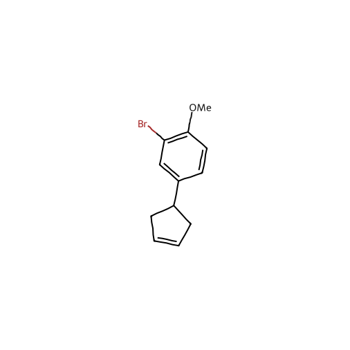 COc1ccc(C2CC=CC2)cc1Br